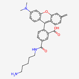 C=c1ccc2c(c1)Oc1cc(N(C)C)ccc1C=2c1ccc(C(=O)NCCCCCN)cc1C(=O)O